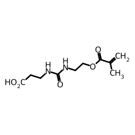 C=C(C)C(=O)OCCNC(=O)NCCC(=O)O